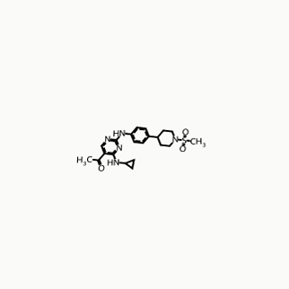 CC(=O)c1cnc(Nc2ccc(C3CCN(S(C)(=O)=O)CC3)cc2)nc1NC1CC1